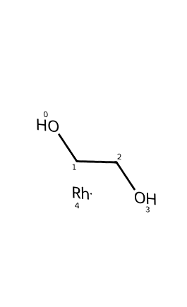 OCCO.[Rh]